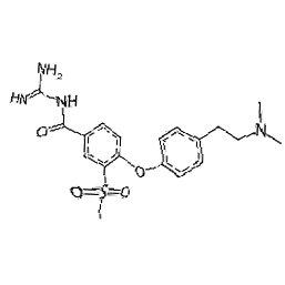 CN(C)CCc1ccc(Oc2ccc(C(=O)NC(=N)N)cc2S(C)(=O)=O)cc1